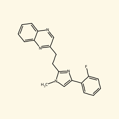 Cn1cc(-c2ccccc2F)nc1CCc1cnc2ccccc2n1